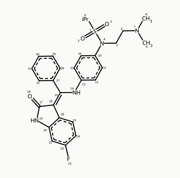 CC(C)S(=O)(=O)N(CCN(C)C)c1ccc(NC(=C2C(=O)Nc3cc(F)ccc32)c2ccccc2)cc1